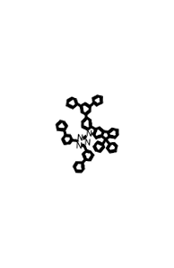 c1ccc(-c2cc(-c3ccccc3)cc(-c3ccc4c(c3)c3cc5c(cc3n4-c3nc(-c4cccc(-c6ccccc6)c4)nc(-c4cccc(-c6ccccc6)c4)n3)C(c3ccccc3)(c3ccccc3)c3ccccc3-5)c2)cc1